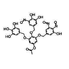 CC(=O)Oc1cc(OCc2cc(O)c(O)c(O)c2)c(OCc2cc(O)c(O)c(N=O)c2)c(OCc2cc(O)c(N=O)c(N=O)c2)c1